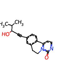 CC(C)C(O)C#Cc1ccc2c(c1)CCn1c-2ccnc1=O